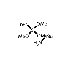 CCCCN.CCC[Si](OC)(OC)OC